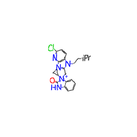 CC(C)CCn1c(C[N+]2(C3CC3)C(=O)Nc3ccccc32)nc2nc(Cl)ccc21